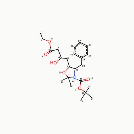 CCOC(=O)CC(O)CC1OC(C)(C)N(C(=O)OC(C)(C)C)C1Cc1ccccc1